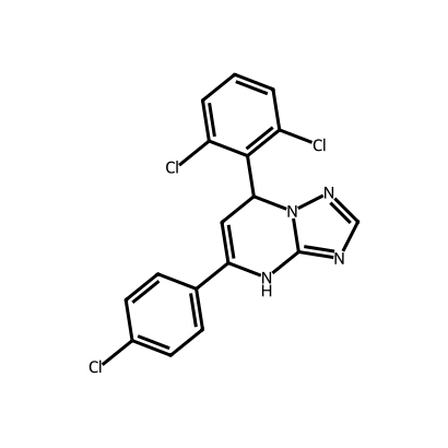 Clc1ccc(C2=CC(c3c(Cl)cccc3Cl)n3ncnc3N2)cc1